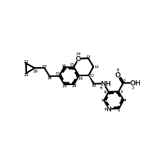 O=C(O)c1ccncc1NC[C@@H]1CCOc2cc(CCC3CC3)ccc21